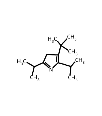 CC(C)C1=NC(C(C)C)=C(C(C)(C)C)C1